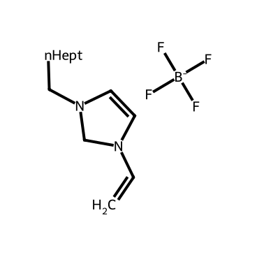 C=CN1C=CN(CCCCCCCC)C1.F[B-](F)(F)F